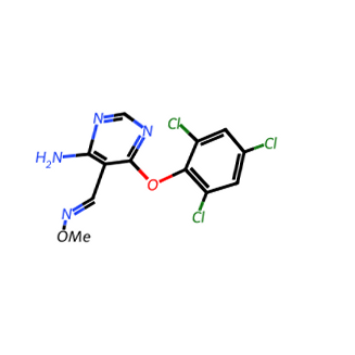 CON=Cc1c(N)ncnc1Oc1c(Cl)cc(Cl)cc1Cl